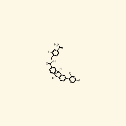 C=C(N)c1ccc(CNC(=O)c2ccc3c(c2)[C@@H]2O[C@H]3c3ccc(-c4ccc(F)cc4F)cc32)c(F)c1